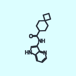 O=C(Nc1c[nH]c2cccnc12)C1CCC2(CCC2)CC1